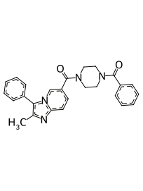 Cc1nc2ccc(C(=O)N3CCN(C(=O)c4ccccc4)CC3)cn2c1-c1ccccc1